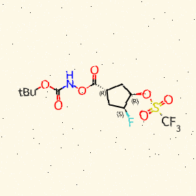 CC(C)(C)OC(=O)NOC(=O)[C@H]1C[C@H](F)[C@H](OS(=O)(=O)C(F)(F)F)C1